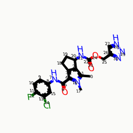 Cc1c2c(c(C(=O)Nc3ccc(F)c(Cl)c3)n1C)CCC2NC(=O)OCc1c[nH]nn1